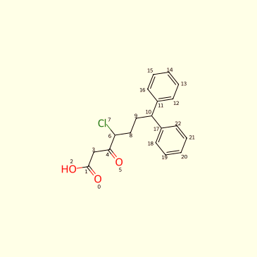 O=C(O)CC(=O)C(Cl)CCC(c1ccccc1)c1ccccc1